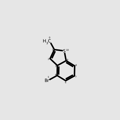 Cc1cc2c(Br)cccc2s1